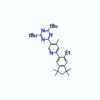 CCc1cc2c(cc1-c1cc(C)c(-c3nc(C(C)(C)C)nc(C(C)(C)C)n3)cn1)C(C)(C)CC2(C)C